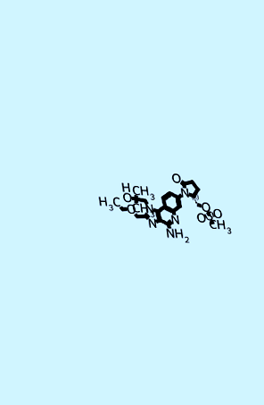 CCOCc1nc2c(N)nc3cc(N4C(=O)CC[C@@H]4COS(C)(=O)=O)ccc3c2n1CC(C)(C)O